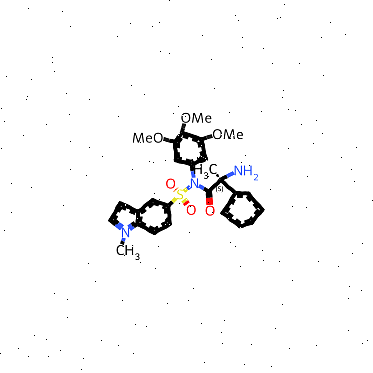 COc1cc(N(C(=O)[C@@](C)(N)c2ccccc2)S(=O)(=O)c2ccc3c(ccn3C)c2)cc(OC)c1OC